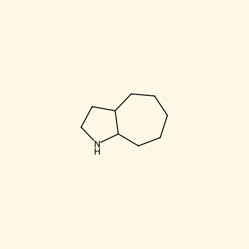 C1CCC2CCNC2CC1